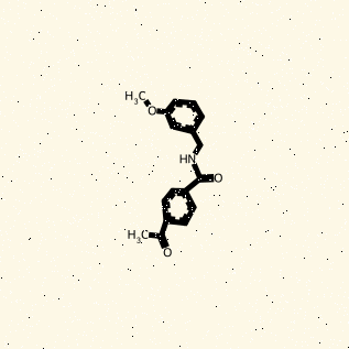 COc1cccc(CNC(=O)c2ccc(C(C)=O)cc2)c1